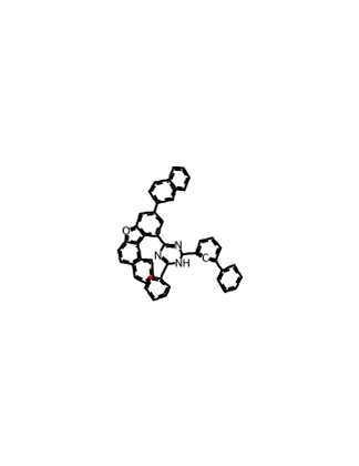 c1ccc(C2=NC(c3cc(-c4ccc5ccccc5c4)cc4oc5ccc6ccccc6c5c34)=NC(c3cccc(-c4ccccc4)c3)N2)cc1